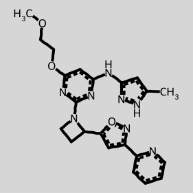 COCCOc1cc(Nc2cc(C)[nH]n2)nc(N2CCC2c2cc(-c3ccccn3)no2)n1